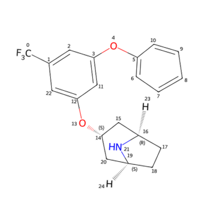 FC(F)(F)c1cc(Oc2ccccc2)cc(O[C@@H]2C[C@H]3CC[C@@H](C2)N3)c1